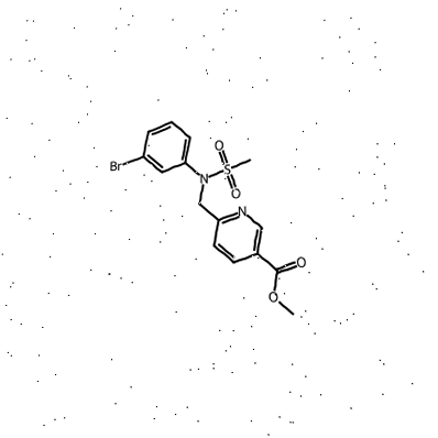 COC(=O)c1ccc(CN(c2cccc(Br)c2)S(C)(=O)=O)nc1